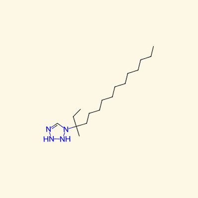 CCCCCCCCCCCCC(C)(CC)N1C=NNN1